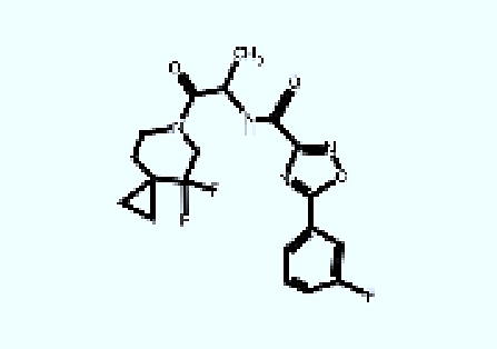 CC(NC(=O)c1noc(-c2cccc(F)c2)n1)C(=O)N1CCC2(CC2)C(F)(F)C1